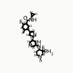 Cc1cc(F)c(C(=O)NC2CC2)cc1-c1cnn(-c2cncc(NC3CCN(C)CC3(F)P)c2)c1